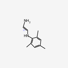 Cc1cc(C)c(N/C=C/N)c(C)c1